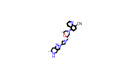 C[C@@H]1Cc2nn(C3CN(C[C@H]4CN(c5ccc(C#N)c6ncccc56)C[C@@H](C)O4)C3)cc2CN1